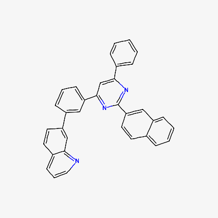 c1ccc(-c2cc(-c3cccc(-c4ccc5cccnc5c4)c3)nc(-c3ccc4ccccc4c3)n2)cc1